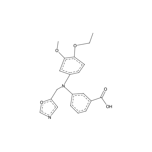 CCOc1ccc(N(Cc2cnco2)c2cccc(C(=O)O)c2)cc1OC